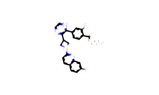 CNC(=O)c1ccc(-c2nccnc2C2CN(c3ccc4ccc(F)cc4n3)C2)cc1F